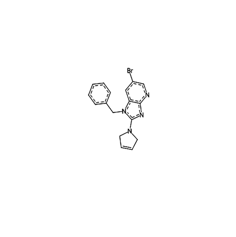 Brc1cnc2nc(N3CC=CC3)n(Cc3ccccc3)c2c1